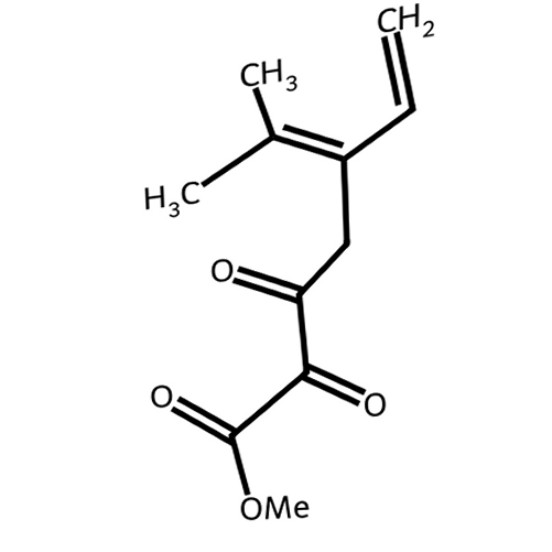 C=CC(CC(=O)C(=O)C(=O)OC)=C(C)C